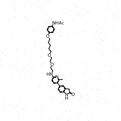 CC(=O)Nc1ccc(OCCCCCOCCOCCNc2ccc(-c3ccc4c(c3)CC(=O)N4)c(C)n2)cc1